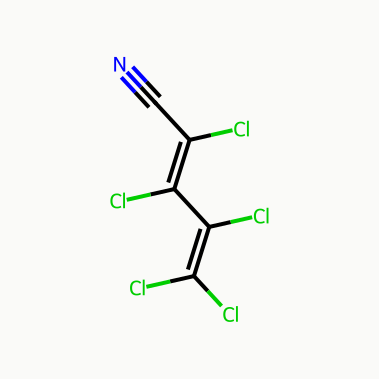 N#CC(Cl)=C(Cl)C(Cl)=C(Cl)Cl